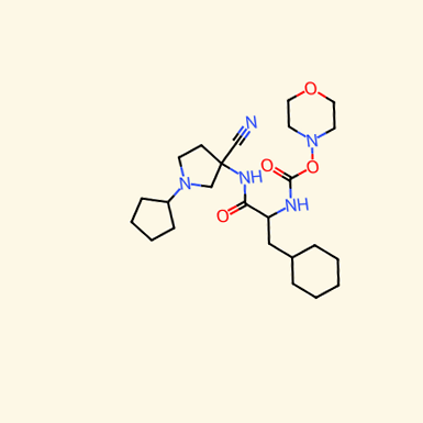 N#CC1(NC(=O)C(CC2CCCCC2)NC(=O)ON2CCOCC2)CCN(C2CCCC2)C1